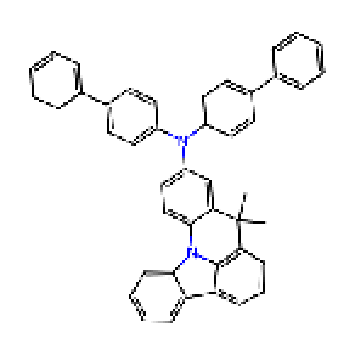 CC1(C)c2cc(N(c3ccc(C4=CC=CCC4)cc3)C3C=CC(c4ccccc4)=CC3)ccc2-n2c3ccccc3c3cccc1c32